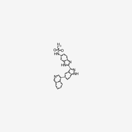 CS(=O)(=O)Nc1ccc2nc(-c3n[nH]c4ccc(-c5cncc6ccccc56)cc34)[nH]c2c1